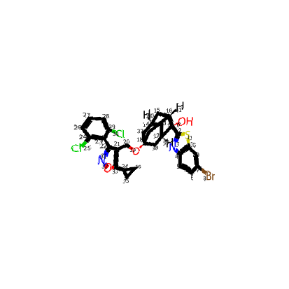 O[C@]1(c2nc3ccc(Br)cc3s2)[C@@H]2C[C@@H]3C[C@H]1C[C@@](OCc1c(-c4c(Cl)cccc4Cl)noc1C1CC1)(C3)C2